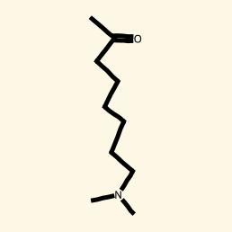 CC(=O)CCCCCCN(C)C